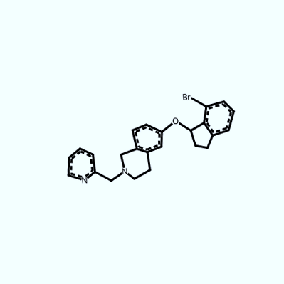 Brc1cccc2c1C(Oc1ccc3c(c1)CCN(Cc1ccccn1)C3)CC2